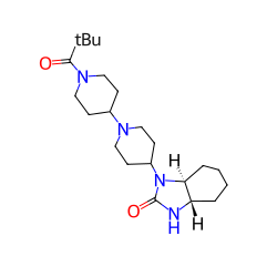 CC(C)(C)C(=O)N1CCC(N2CCC(N3C(=O)N[C@H]4CCCC[C@@H]43)CC2)CC1